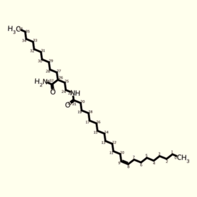 CCCCCCCC/C=C\CCCCCCCCCCCC(=O)NCCC(CCCCCCCCCC)C(N)=O